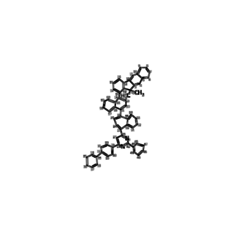 CC1(C)c2cc3ccccc3cc2-c2cccc(-c3ccc(-c4ccc(-c5cc(-c6ccc(-c7ccccc7)cc6)nc(-c6ccccc6)n5)c5ccccc45)c4ccccc34)c21